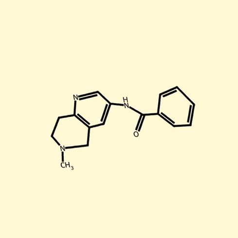 CN1CCc2ncc(NC(=O)c3ccccc3)cc2C1